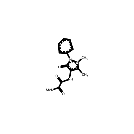 CNC(=O)C(=O)Nc1c(C)n(C)n(-c2ccccc2)c1=O